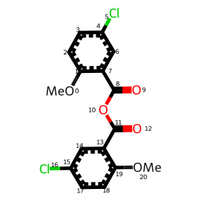 COc1ccc(Cl)cc1C(=O)OC(=O)c1cc(Cl)ccc1OC